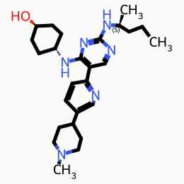 CCC[C@H](C)Nc1ncc(-c2ccc(C3CCN(C)CC3)cn2)c(N[C@H]2CC[C@H](O)CC2)n1